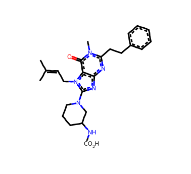 CC(C)=CCn1c(N2CCCC(NC(=O)O)C2)nc2nc(CCc3ccccc3)n(C)c(=O)c21